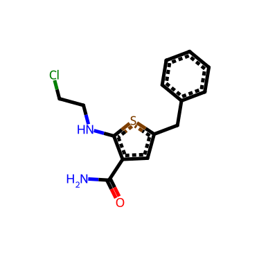 NC(=O)c1cc(Cc2ccccc2)sc1NCCCl